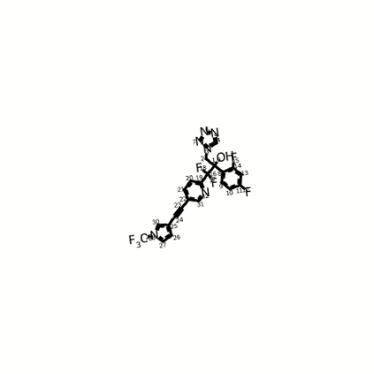 OC(Cn1cnnn1)(c1ccc(F)cc1F)C(F)(F)c1ccc(C#Cc2ccn(C(F)(F)F)c2)cn1